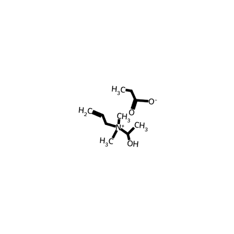 C=CC[N+](C)(C)C(C)O.CCC(=O)[O-]